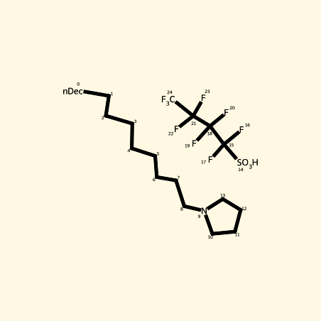 CCCCCCCCCCCCCCCCCCN1CCCC1.O=S(=O)(O)C(F)(F)C(F)(F)C(F)(F)C(F)(F)F